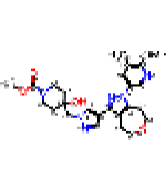 COc1ncc(-n2nc(-c3cnn(CC4(O)CCN(C(=O)OC(C)(C)C)CC4)c3)c3c2CCOCC3)cc1C